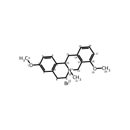 COc1ccc2c(c1)CC[N+]1(C)Cc3c(cccc3OC)CC21.[Br-]